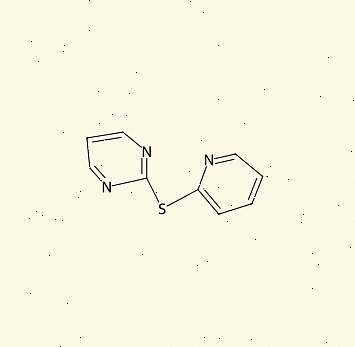 [c]1ccc(Sc2ncccn2)nc1